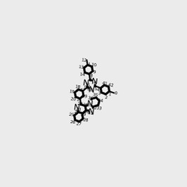 Cc1ccc(-c2nc(-c3ccc(C)cc3)nc(-c3cccc(-c4nc5ccccc5c5nc6ccccn6c45)c3)n2)cc1